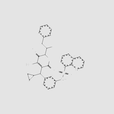 CCC(Cc1ccccc1)C1OC(=O)C(C(c2cccc(NS(=O)(=O)c3cccc4cccnc34)c2)C2CC2)=C(O)C1=O